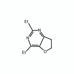 CCc1nc(CC)c2c(n1)CCO2